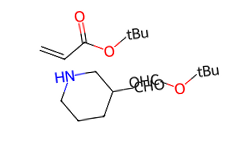 C=CC(=O)OC(C)(C)C.CC(C)(C)OC=O.O=CC1CCCNC1